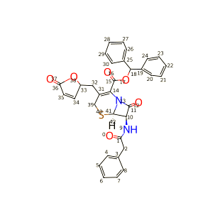 O=C(Cc1ccccc1)N[C@@H]1C(=O)N2C(C(=O)OC(c3ccccc3)c3ccccc3)=C(CC3C=CC(=O)O3)CS[C@H]12